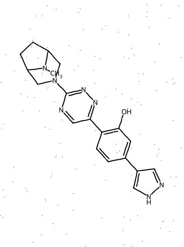 CN1C2CCC1CN(c1ncc(-c3ccc(-c4cn[nH]c4)cc3O)nn1)C2